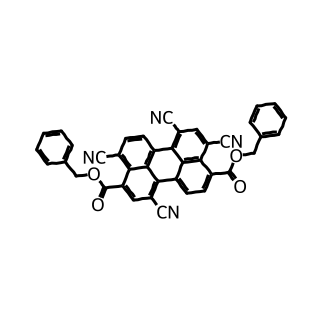 N#Cc1cc(C#N)c2c3ccc(C#N)c4c(C(=O)OCc5ccccc5)cc(C#N)c(c5ccc(C(=O)OCc6ccccc6)c1c52)c43